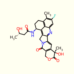 Cc1c(F)cc2nc3c(c4c2c1CC[C@@H]4NC(=O)C[C@H](C)O)Cn1c-3cc2c(c1=O)COC(=O)[C@@]2(C)O